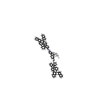 CC1(C)c2cc(/C=C/c3ccc4c(c3)C3(c5ccccc5-c5ccccc53)c3cc(N(c5ccc6ccccc6c5)c5ccc6ccccc6c5)ccc3-4)ccc2-c2ccc(/C=C/c3ccc4c(c3)C3(c5ccccc5-c5ccccc53)c3cc(N(c5ccc6ccccc6c5)c5ccc6ccccc6c5)ccc3-4)cc21